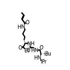 C/C=C/C(=O)NCCCC[C@H](NC(=O)CNC(=O)[C@@H](NC(C)C)C(C)CC)C(=O)CC